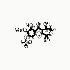 COc1c(OS(C)(=O)=O)ccc(C(=O)C2C(=O)C(C)(C)OC(C)(C)C2=O)c1[N+](=O)[O-]